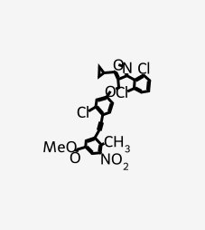 COC(=O)c1cc(C#Cc2ccc(OCc3c(-c4c(Cl)cccc4Cl)noc3C3CC3)cc2Cl)c(C)c([N+](=O)[O-])c1